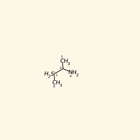 C[SiH2]C(C)N